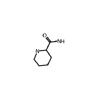 [NH]C(=O)C1CCCC[N]1